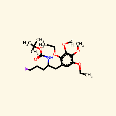 CCOc1cc(CC(CCCI)NC(=O)OC(C)(C)C)c(OCC)c(OC)c1OC